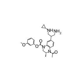 COc1cccc(OC(=O)N2C[C@H](C)N(C(C)=O)c3ccc(C(CN)CNC4CC4)cc32)c1